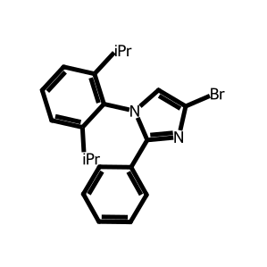 CC(C)c1cccc(C(C)C)c1-n1cc(Br)nc1-c1ccccc1